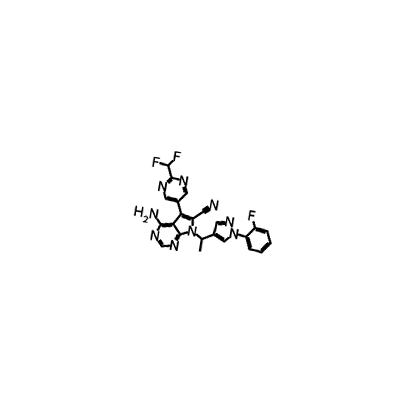 CC(c1cnn(-c2ccccc2F)c1)n1c(C#N)c(-c2cnc(C(F)F)nc2)c2c(N)ncnc21